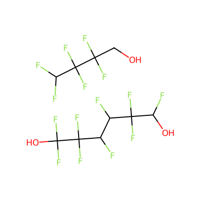 OC(F)C(F)(F)C(F)C(F)C(F)(F)C(O)(F)F.OCC(F)(F)C(F)(F)C(F)F